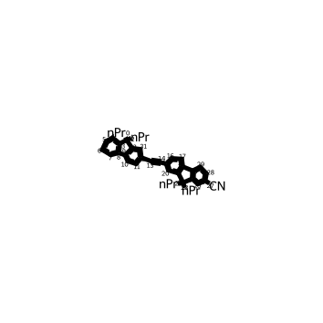 CCCC1(CCC)c2ccccc2-c2ccc(C#Cc3ccc4c(c3)C(CCC)(CCC)c3cc(C#N)ccc3-4)cc21